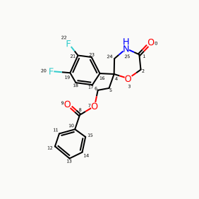 O=C1COC(CCOC(=O)c2ccccc2)(c2ccc(F)c(F)c2)CN1